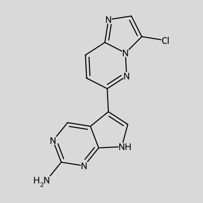 Nc1ncc2c(-c3ccc4ncc(Cl)n4n3)c[nH]c2n1